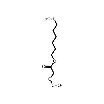 CCCCCCCCCCCCCCOC(=O)CO[C]=O